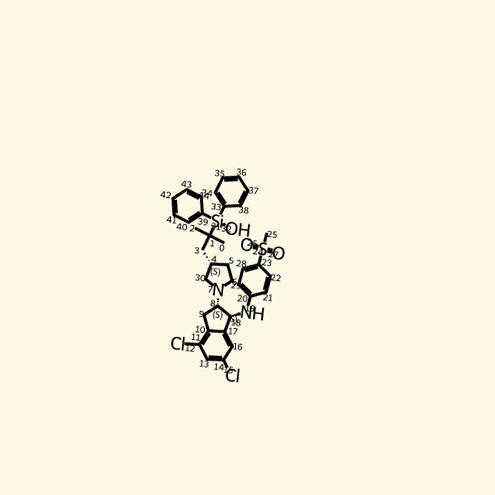 CC(C)(C[C@@H]1CCN([C@H]2Cc3c(Cl)cc(Cl)cc3[C@@H]2Nc2ccc(S(C)(=O)=O)cc2)C1)[Si](O)(c1ccccc1)c1ccccc1